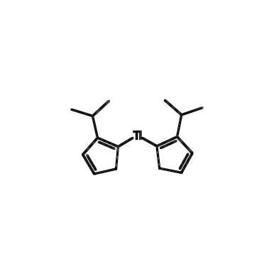 CC(C)C1=[C]([Ti][C]2=C(C(C)C)C=CC2)CC=C1